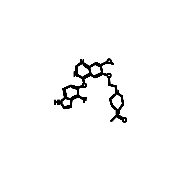 COc1cc2ncnc(Oc3ccc4[nH]ccc4c3F)c2cc1OCCN1CCN(C(C)=O)CC1